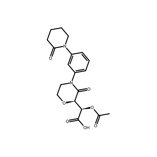 CC(=O)O[C@@H](C(=O)O)[C@H]1OCCN(c2cccc(N3CCCCC3=O)c2)C1=O